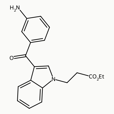 CCOC(=O)CCn1cc(C(=O)c2cccc(N)c2)c2ccccc21